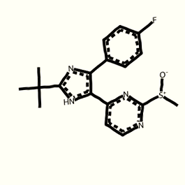 C[S+]([O-])c1nccc(-c2[nH]c(C(C)(C)C)nc2-c2ccc(F)cc2)n1